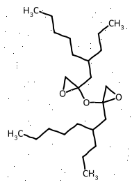 CCCCCC(CCC)CC1(OC2(CC(CCC)CCCCC)CO2)CO1